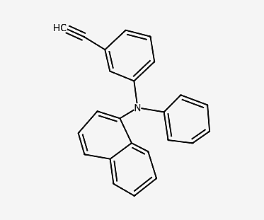 C#Cc1cccc(N(c2ccccc2)c2cccc3ccccc23)c1